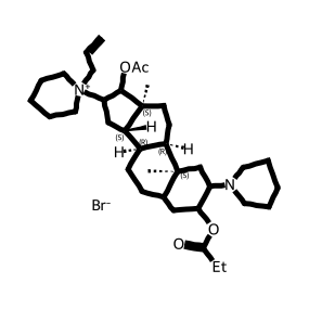 C=CC[N+]1(C2C[C@H]3[C@@H]4CCC5CC(OC(=O)CC)C(N6CCCCC6)C[C@]5(C)[C@@H]4CC[C@]3(C)C2OC(C)=O)CCCCC1.[Br-]